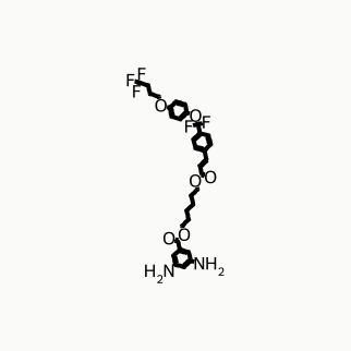 Nc1cc(N)cc(C(=O)OCCCCCCOC(=O)/C=C/c2ccc(C(F)(F)Oc3ccc(OCCCC(F)(F)F)cc3)cc2)c1